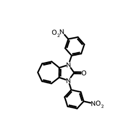 O=c1n(-c2cccc([N+](=O)[O-])c2)c2c(n1-c1cccc([N+](=O)[O-])c1)C=CCC=C2